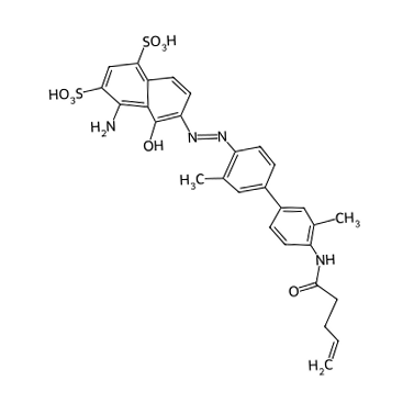 C=CCCC(=O)Nc1ccc(-c2ccc(/N=N/c3ccc4c(S(=O)(=O)O)cc(S(=O)(=O)O)c(N)c4c3O)c(C)c2)cc1C